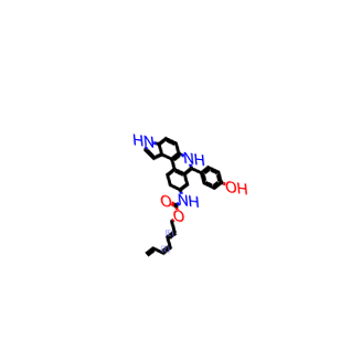 C=C/C=C\C=C\COC(=O)NC1CCC2=C(C1)C(c1ccc(O)cc1)NC1=C2C2C=CNC2C=C1